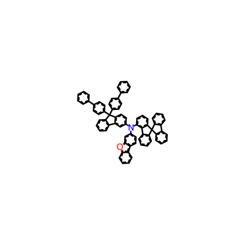 c1ccc(-c2ccc(C3(c4ccc(-c5ccccc5)cc4)c4ccccc4-c4cc(N(c5ccc6c(c5)oc5ccccc56)c5cccc6c5-c5ccccc5C65c6ccccc6-c6ccccc65)ccc43)cc2)cc1